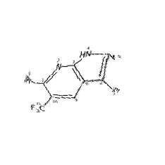 CC(C)c1nc2[nH]nc(C(C)C)c2cc1C(F)(F)F